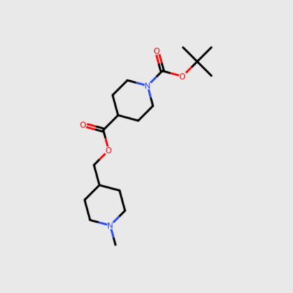 CN1CCC(COC(=O)C2CCN(C(=O)OC(C)(C)C)CC2)CC1